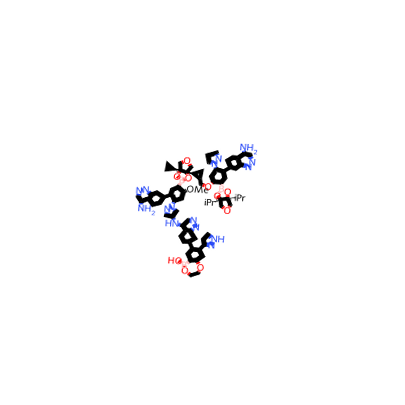 COc1cc(-n2cc(Nc3cnnc4cc(-c5cc6c(cc5-c5cc[nH]n5)OCCOB6O)ccc34)cn2)c(-c2ccc3c(N)cnnc3c2)cc1B1O[C@]2(C3CC3)COC[C@]2(C2CC2COc2cc(-n3cccn3)c(-c3ccc4c(N)cnnc4c3)cc2B2O[C@]3(C(C)C)COC[C@]3(C(C)C)O2)O1